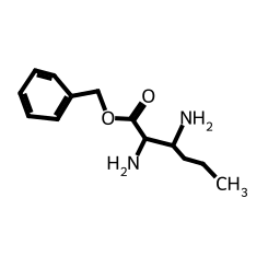 CCCC(N)C(N)C(=O)OCc1ccccc1